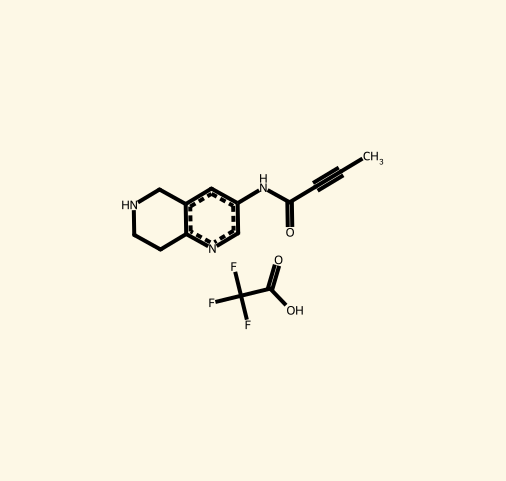 CC#CC(=O)Nc1cnc2c(c1)CNCC2.O=C(O)C(F)(F)F